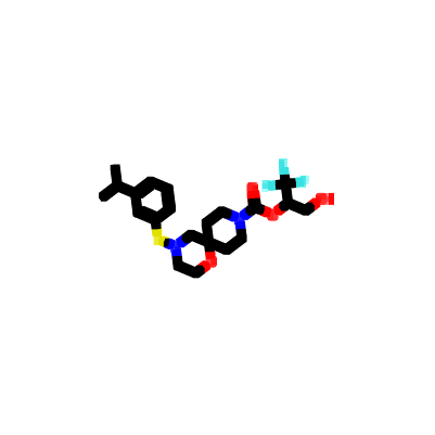 CC(C)c1cccc(SN2CCOC3(CCN(C(=O)OC(CO)C(F)(F)F)CC3)C2)c1